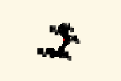 C=CC(=O)Oc1ccc(N(C)c2ccc(CCc3ccc(N(C)c4ccc(OC(=O)C(=C)C)cc4)cc3)cc2)cc1